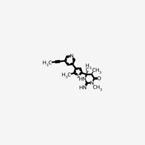 CC#Cc1cncc(-c2cc([C@@]3(C)NC(=N)N(C)C(=O)[C@@H]3C)sc2C)c1